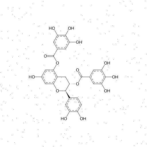 O=C(Oc1cc(O)cc2c1C[C@H](OC(=O)c1cc(O)c(O)c(O)c1)[C@@H](c1ccc(O)c(O)c1)O2)c1cc(O)c(O)c(O)c1